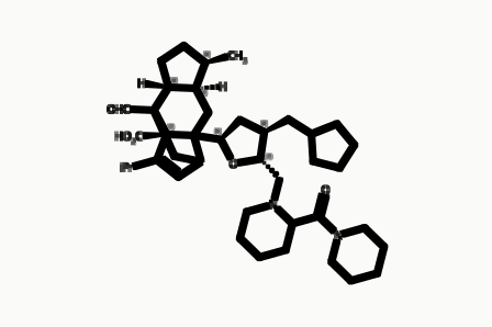 CC(C)C1=CC2CC3(C=O)[C@@H]4CC[C@@H](C)[C@H]4CC2([C@H]2C[C@@H](CC4CCCC4)[C@H](CN4CCCCC4C(=O)N4CCCCC4)O2)[C@]13C(=O)O